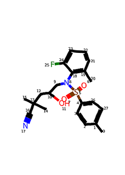 Cc1ccc(S(=O)(=O)N(CC(O)CC(C)(C)C#N)c2c(C)cccc2F)cc1